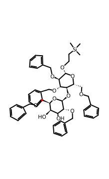 C[Si](C)(C)CCO[C@@H]1O[C@H](COCc2ccccc2)[C@@H](O[C@@H]2O[C@H](COCc3ccccc3)[C@H](O)[C@H](O)[C@H]2OCc2ccccc2)[C@H](OCc2ccccc2)[C@H]1OCc1ccccc1